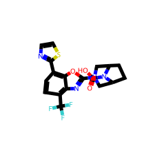 O=C(O)N1C2CCC1CN(c1nc3c(C(F)(F)F)ccc(-c4nccs4)c3o1)C2